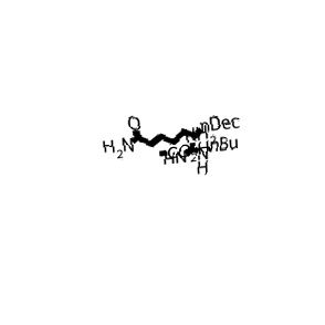 CC(=O)O.CCCCCCCCCCCCCCCC(N)=O.CCCCNC(=N)N